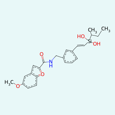 CCC(C)[Si](O)(O)C=Cc1cccc(CNC(=O)c2cc3cc(OC)ccc3o2)c1